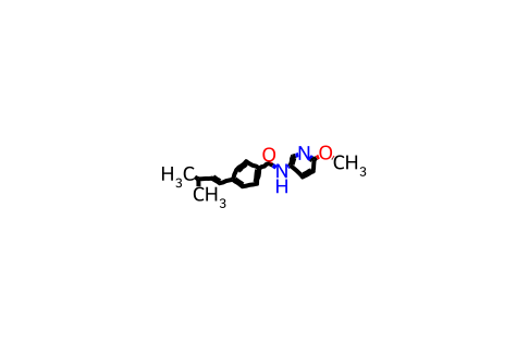 COc1ccc(NC(=O)c2ccc(/C=C/C(C)C)cc2)cn1